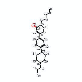 CCCCCC1CCC(c2ccc(C3CCC(CCC)CC3)cc2)=CC1=O